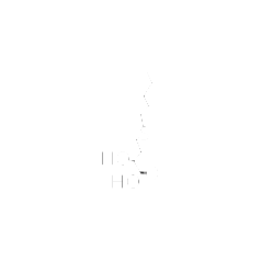 CCCCCSCCC(O)C(=O)O